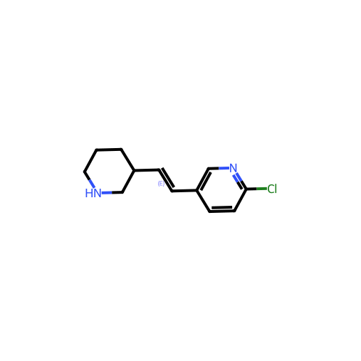 Clc1ccc(/C=C/C2CCCNC2)cn1